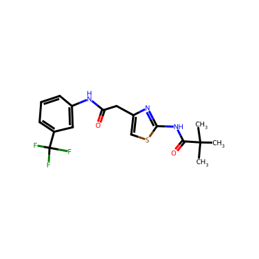 CC(C)(C)C(=O)Nc1nc(CC(=O)Nc2cccc(C(F)(F)F)c2)cs1